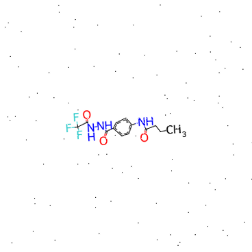 CCCC(=O)Nc1ccc(C(=O)NNC(=O)C(F)(F)F)cc1